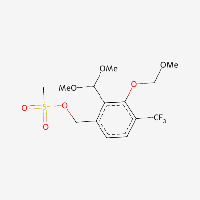 COCOc1c(C(F)(F)F)ccc(COS(C)(=O)=O)c1C(OC)OC